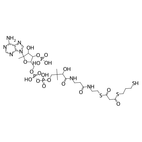 CC(C)(COP(=O)(O)OP(=O)(O)OCC1OC(C)(n2cnc3c(N)ncnc32)C(O)C1OP(=O)(O)O)C(O)C(=O)NCCC(=O)NCCSC(=O)CC(=O)SCCCS